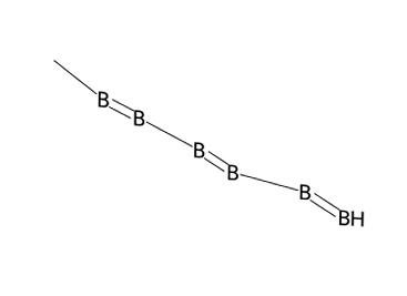 B=BB=BB=BC